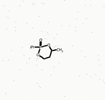 CC1CCOP(=O)(C(C)C)O1